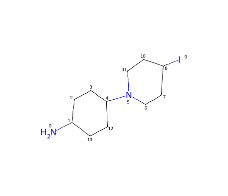 NC1CCC(N2CCC(I)CC2)CC1